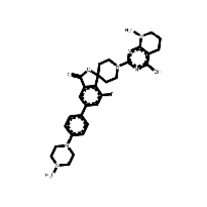 CN1CCN(c2ccc(-c3cc(F)c4c(c3)C(=O)OC43CCN(c4nc(O)c5c(n4)N(C)CCC5)CC3)cc2)CC1